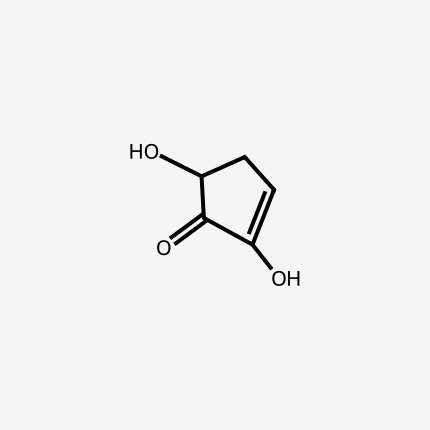 O=C1C(O)=CCC1O